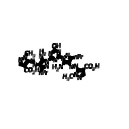 CCCc1nn(-c2nc(O)nc(-n3nc(CCC)c(/N=N/c4c(C(=O)O)cnn4C)c3N)n2)c(N)c1/N=N/c1c(C(=O)O)cnn1C